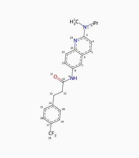 CC(C)N(C)c1ccc2cc(NC(=O)CCc3ccc(C(F)(F)F)cc3)ccc2n1